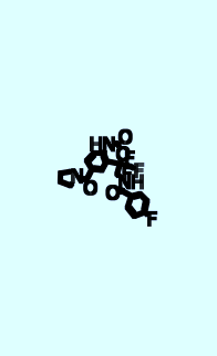 O=C1Nc2ccc(C(=O)N3CCCC3)cc2C(CNC(=O)c2ccc(F)cc2)(C(F)(F)F)O1